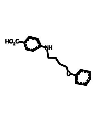 O=C(O)c1ccc(NCCCCOc2ccccc2)cc1